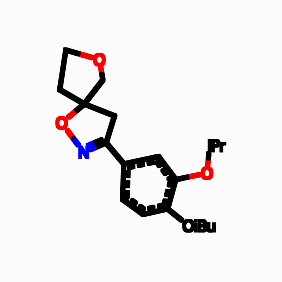 CC(C)COc1ccc(C2=NOC3(CCOC3)C2)cc1OC(C)C